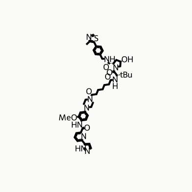 COc1cc(N2CCN(C(=O)CCCCCC(=O)N[C@H](C(=O)N3C[C@H](O)C[C@H]3C(=O)NCc3ccc(-c4scnc4C)cc3)C(C)(C)C)CC2)ccc1NC(=O)c1cccc(-c2ccn[nH]2)n1